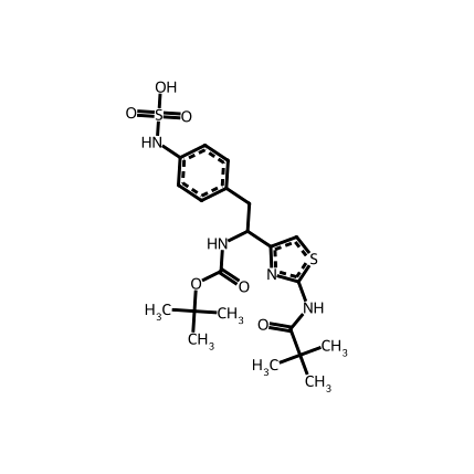 CC(C)(C)OC(=O)NC(Cc1ccc(NS(=O)(=O)O)cc1)c1csc(NC(=O)C(C)(C)C)n1